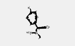 CN(N)C(=O)c1ccc(Br)cc1